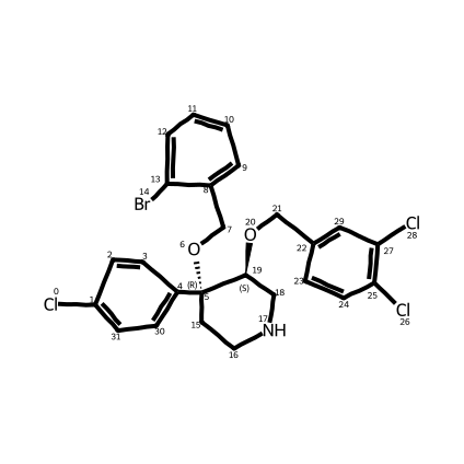 Clc1ccc([C@]2(OCc3ccccc3Br)CCNC[C@@H]2OCc2ccc(Cl)c(Cl)c2)cc1